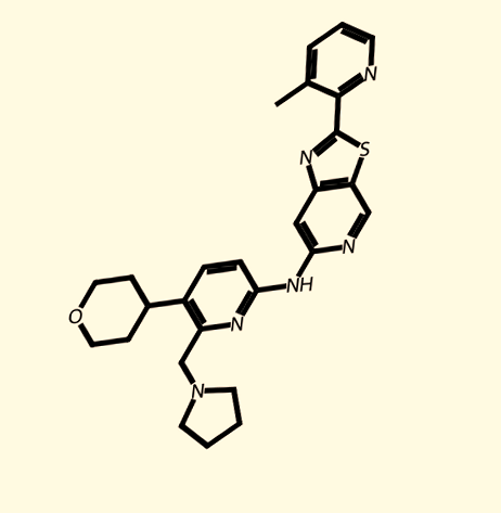 Cc1cccnc1-c1nc2cc(Nc3ccc(C4CCOCC4)c(CN4CCCC4)n3)ncc2s1